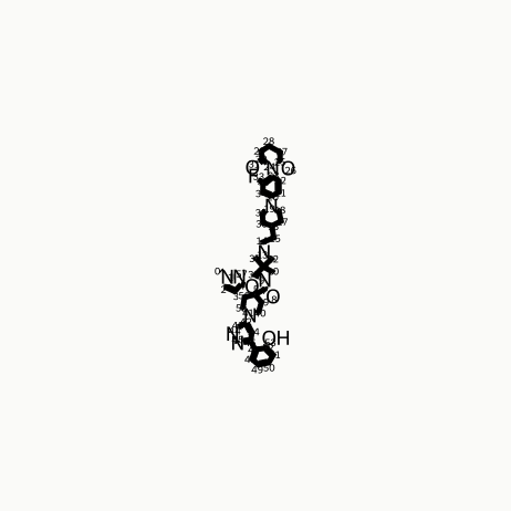 Cn1ccc(OC2(C(=O)N3CC4(CN(CCC5CCN(c6ccc(N7C(=O)CCCC7=O)c(F)c6)CC5)C4)C3)CCN(c3cnnc(-c4ccccc4O)c3)CC2)n1